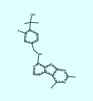 Cc1nc(C)c2c(n1)sc1c(NCc3ccc(C(C)(C)O)c(F)c3)nccc12